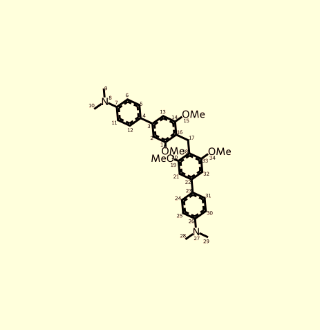 COc1cc(-c2ccc(N(C)C)cc2)cc(OC)c1Cc1c(OC)cc(-c2ccc(N(C)C)cc2)cc1OC